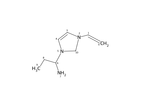 C=CN1C=CN(C(N)CC)C1